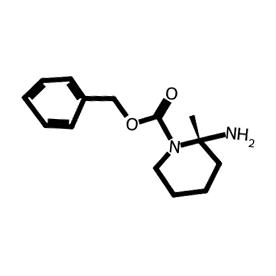 C[C@@]1(N)CCCCN1C(=O)OCc1ccccc1